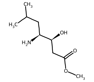 COC(=O)C[C@H](O)[C@@H](N)CC(C)C